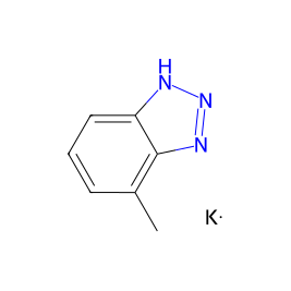 Cc1cccc2[nH]nnc12.[K]